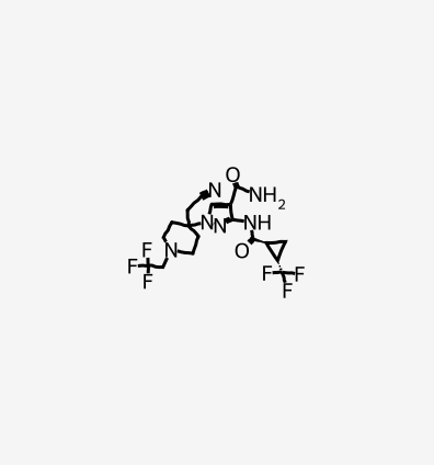 N#CCC1(n2cc(C(N)=O)c(NC(=O)[C@H]3C[C@@H]3C(F)(F)F)n2)CCN(CC(F)(F)F)CC1